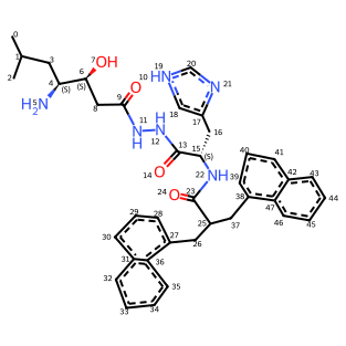 CC(C)C[C@H](N)[C@@H](O)CC(=O)NNC(=O)[C@H](Cc1c[nH]cn1)NC(=O)C(Cc1cccc2ccccc12)Cc1cccc2ccccc12